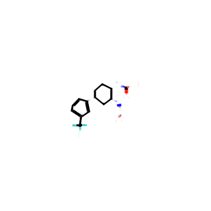 O=C=N[C@H]1C[C@@H](c2cccc(C(F)(F)F)c2)CC[C@@H]1NC(=O)O